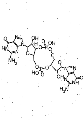 C[C@H]1OP(=O)(O)OCC2OC(n3cnc4c(=O)[nH]c(N)nc43)C(O)[C@H]2OP(=O)(O)OC[C@@H]1OC(CO)n1cnc2c(=O)[nH]c(N)nc21